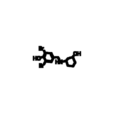 Oc1c(Br)cc(CNC2CCCC(O)C2)cc1Br